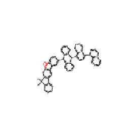 CC1(C)c2ccccc2-c2cc3c(cc21)oc1ccc(-c2c4ccccc4c(-c4ccc(-c5cccc6ccccc56)c5ccccc45)c4ccccc24)cc13